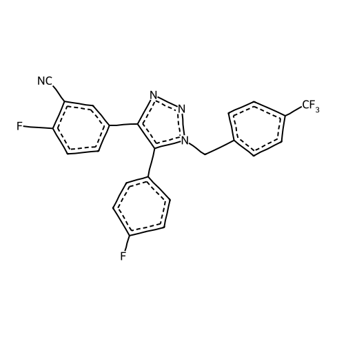 N#Cc1cc(-c2nnn(Cc3ccc(C(F)(F)F)cc3)c2-c2ccc(F)cc2)ccc1F